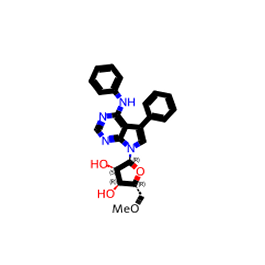 COC[C@H]1O[C@@H](n2cc(-c3ccccc3)c3c(Nc4ccccc4)ncnc32)[C@@H](O)[C@H]1O